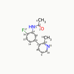 CC(=O)Nc1cc(-c2cccnc2C)ccc1F